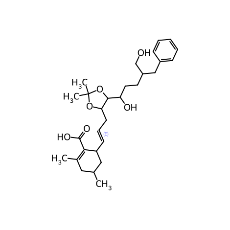 CC1=C(C(=O)O)C(/C=C/CC2OC(C)(C)OC2C(O)CCC(CO)Cc2ccccc2)CC(C)C1